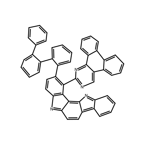 c1ccc(-c2ccccc2-c2ccccc2-c2ccc3c(c2-c2ncc4c5ccccc5c5ccccc5c4n2)-c2c4c(ccc2=N3)=c2ccccc2=N4)cc1